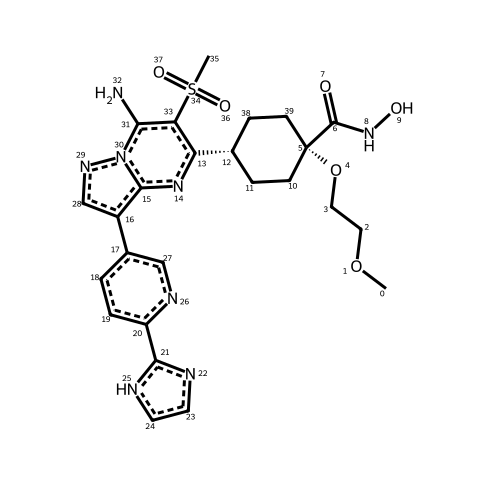 COCCO[C@]1(C(=O)NO)CC[C@H](c2nc3c(-c4ccc(-c5ncc[nH]5)nc4)cnn3c(N)c2S(C)(=O)=O)CC1